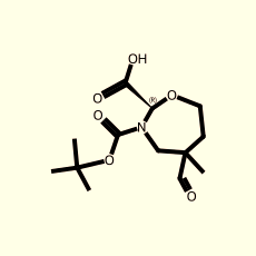 CC1(C=O)CCO[C@H](C(=O)O)N(C(=O)OC(C)(C)C)C1